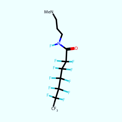 CNCCCN(F)C(=O)C(F)(F)C(F)(F)C(F)(F)C(F)(F)C(F)(F)C(F)(F)F